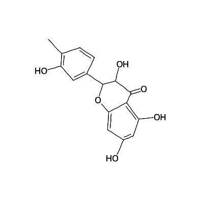 Cc1ccc(C2Oc3cc(O)cc(O)c3C(=O)C2O)cc1O